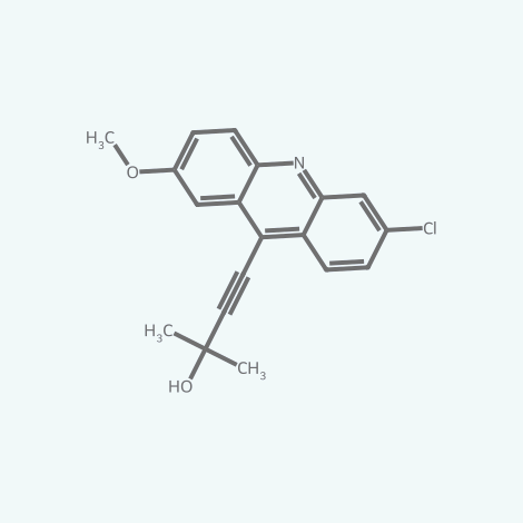 COc1ccc2nc3cc(Cl)ccc3c(C#CC(C)(C)O)c2c1